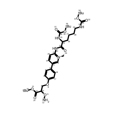 C[n+]1cc(-c2ccc(OCC(ON)C(=O)OC(C)(C)C)cc2)ccc1NC(=O)C(CCCCNC(=O)OC(C)(C)C)NC(=O)OC(C)(C)C